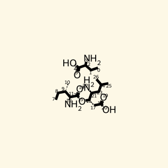 CCC(N)C(=O)O.CC[C@H](C)[C@H](N)C(=O)O[C@@H](CC(=O)O)[C@@H](N)CC(C)C